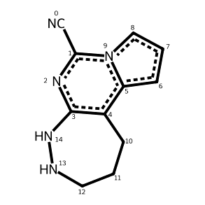 N#Cc1nc2c(c3cccn13)CCCNN2